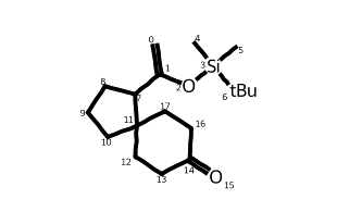 C=C(O[Si](C)(C)C(C)(C)C)C1CCCC12CCC(=O)CC2